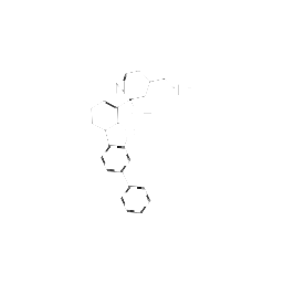 CC(C)CC1CC=NC(C)(C2=CCCC3c4ccc(-c5ccccc5)cc4OC23)C1